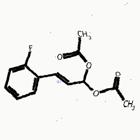 CC(=O)OC(/C=C/c1ccccc1F)OC(C)=O